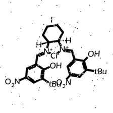 CC(C)(C)c1cc([N+](=O)[O-])cc(C=[N+]2[Cr][N+](=Cc3cc([N+](=O)[O-])cc(C(C)(C)C)c3O)[C@@H]3CCCC[C@H]32)c1O.[I-]